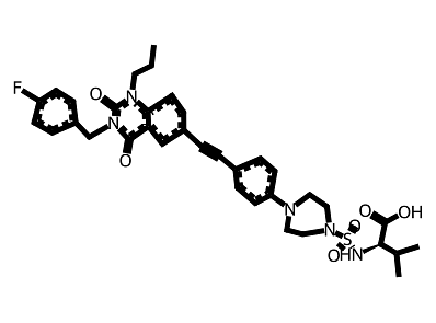 CCCn1c(=O)n(Cc2ccc(F)cc2)c(=O)c2cc(C#Cc3ccc(N4CCN(S(=O)(=O)N[C@@H](C(=O)O)C(C)C)CC4)cc3)ccc21